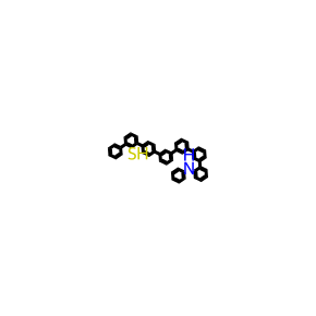 Sc1c(-c2ccccc2)cccc1-c1ccc(-c2cccc(-c3cccc(-c4cccc(-c5ccccc5Nc5ccccc5)c4)c3)c2)cc1